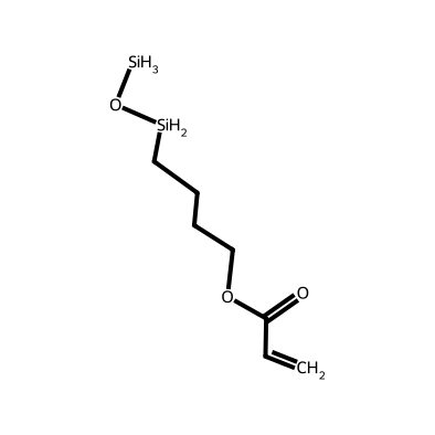 C=CC(=O)OCCCC[SiH2]O[SiH3]